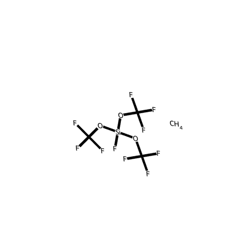 C.FC(F)(F)O[Si](F)(OC(F)(F)F)OC(F)(F)F